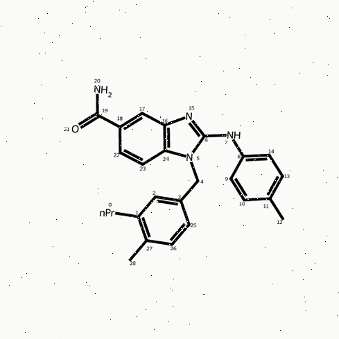 CCCc1cc(Cn2c(Nc3ccc(C)cc3)nc3cc(C(N)=O)ccc32)ccc1C